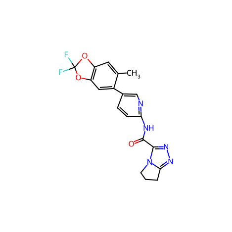 Cc1cc2c(cc1-c1ccc(NC(=O)c3nnc4n3CCC4)nc1)OC(F)(F)O2